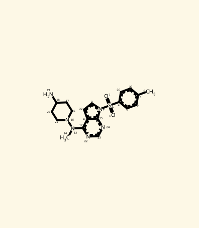 Cc1ccc(S(=O)(=O)n2ccc3c(N(C)N4CCC(N)CC4)ncnc32)cc1